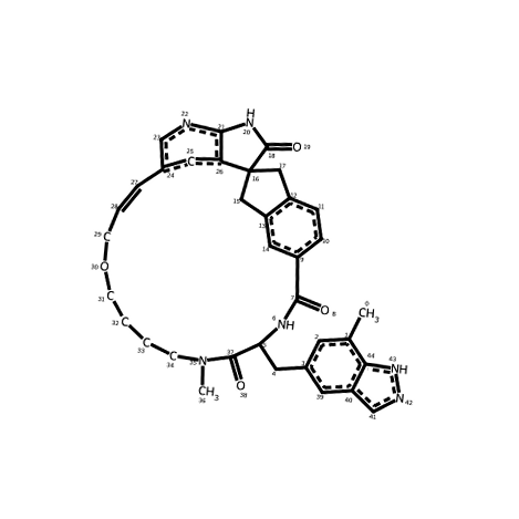 Cc1cc(CC2NC(=O)c3ccc4c(c3)CC3(C4)C(=O)Nc4ncc(cc43)C=CCOCCCCN(C)C2=O)cc2cn[nH]c12